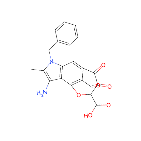 Cc1c(N)c2c3c(C=O)c(cc2n1Cc1ccccc1)C(=O)C(=O)C(C(=O)O)O3